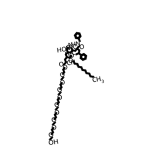 CCCCCCCCCCCCOC(=O)C(CC(C)C(=O)OCCOCCOCCOCCOCCOCCOCCOCCOCCOCCO)CC(CC(C#N)CC(C)(CC(CC)c1ccccc1)C(=O)NCc1ccccc1)C(=O)O